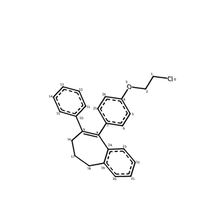 ClCCOc1ccc(C2=C(c3ccccc3)CCCc3ccccc32)cc1